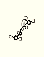 COC(=O)c1cc(Cl)ccc1NC(=O)COCc1ccc(-c2cc(Cl)ccc2Cl)o1